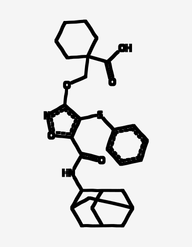 O=C(NC1C2CC3CC(C2)CC1C3)c1onc(OCC2(C(=O)O)CCCCC2)c1Sc1ccccc1